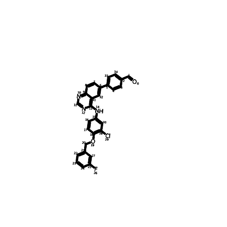 O=Cc1ccc(-c2ccc3ncnc(Nc4ccc(OCc5cccc(F)c5)c(Cl)c4)c3c2)cc1